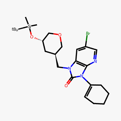 CC(C)(C)[Si](C)(C)O[C@@H]1COC[C@@H](Cn2c(=O)n(C3=CCCCC3)c3ncc(Br)cc32)C1